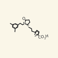 Cc1cc(C)cc(CCN2C(=O)CC[C@@H]2CCCc2ccc(C(=O)O)s2)c1